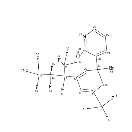 FC(F)(F)C1=CC(C(F)(C(F)(F)F)C(F)(F)C(F)(F)F)=CC(Br)(c2cccnc2Cl)[CH]1